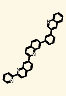 c1ccc(-c2ccc3ccc(-c4ccc5ccc(-c6cccc(-c7cnc8ccccc8c7)c6)cc5n4)cc3n2)nc1